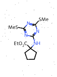 CCOC(=O)C1(Nc2nc(SC)nc(SC)n2)CCCC1